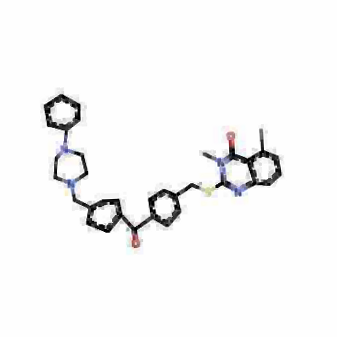 Cc1cccc2nc(SCc3ccc(C(=O)c4ccc(CN5CCN(c6ccccc6)CC5)cc4)cc3)n(C)c(=O)c12